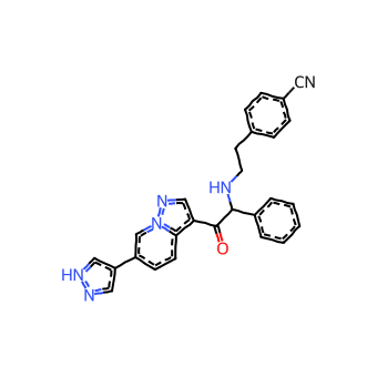 N#Cc1ccc(CCNC(C(=O)c2cnn3cc(-c4cn[nH]c4)ccc23)c2ccccc2)cc1